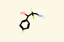 NCC(F)(F)C(O)c1ccc(F)cc1